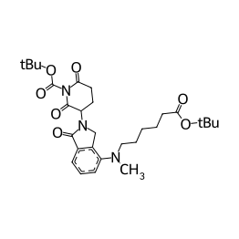 CN(CCCCCC(=O)OC(C)(C)C)c1cccc2c1CN(C1CCC(=O)N(C(=O)OC(C)(C)C)C1=O)C2=O